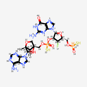 Nc1nc2c(ncn2[C@@H]2O[C@H](CO[PH](=O)S)[C@@H](F)[C@H]2OP(=O)(S)OC[C@@]23CO[C@@H]([C@H](n4cnc5c(N)ncnc54)O2)[C@@H]3O)c(=O)[nH]1